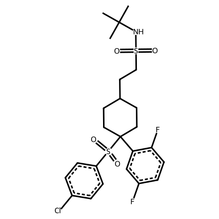 CC(C)(C)NS(=O)(=O)CCC1CCC(c2cc(F)ccc2F)(S(=O)(=O)c2ccc(Cl)cc2)CC1